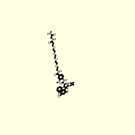 CNC(=O)CNC(=O)CCOCCOCCOCCOCCNC(=O)c1ccc(NC(=O)[C@@H]2N[C@@H](CC(C)(C)C)[C@](C)(c3ccc(Cl)cc3F)[C@H]2c2cccc(Cl)c2F)c(OC)c1